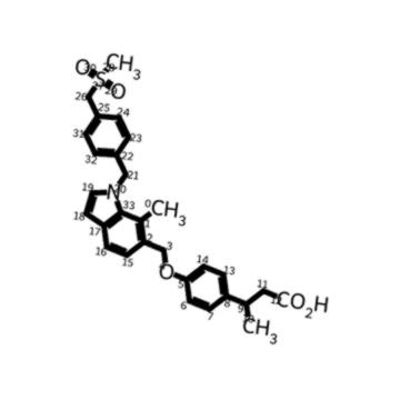 Cc1c(COc2ccc(C(C)CC(=O)O)cc2)ccc2ccn(Cc3ccc(CS(C)(=O)=O)cc3)c12